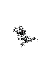 COC(=O)N[C@H](C(=O)N[C@H](c1ccc([C@@H](CO)N(CCC(C)(C)C)S(=O)(=O)c2ccc(N)cc2Cl)s1)C(F)(F)F)C(c1ccccc1)c1ccccc1